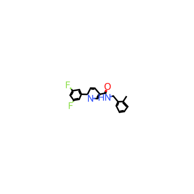 Cc1ccccc1CNC(=O)c1ccc(-c2cc(F)cc(F)c2)nc1